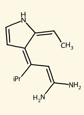 C/C=c1/[nH]cc/c1=C(/C=C(N)N)C(C)C